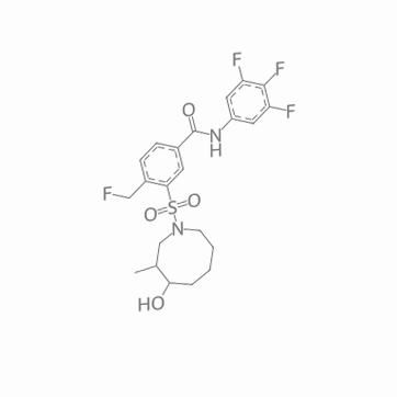 CC1CN(S(=O)(=O)c2cc(C(=O)Nc3cc(F)c(F)c(F)c3)ccc2CF)CCCCC1O